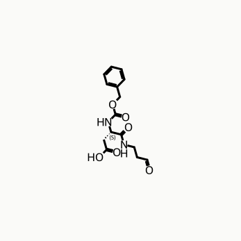 O=CCCNC(=O)[C@H](CC(=O)O)NC(=O)OCc1ccccc1